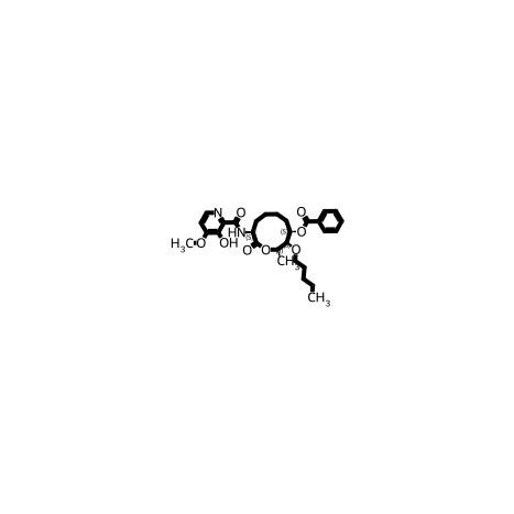 CCCCCO[C@H]1[C@H](C)OC(=O)[C@@H](NC(=O)c2nccc(OC)c2O)CCCC[C@@H]1OC(=O)c1ccccc1